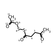 CC(=O)CCC(=O)SSOC(C)=O